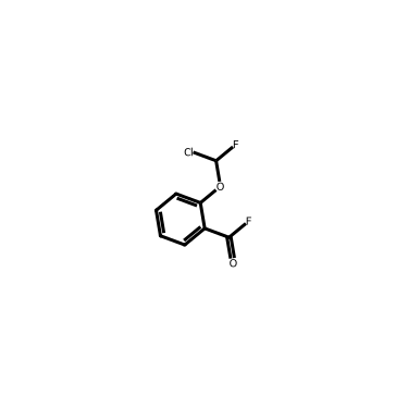 O=C(F)c1ccccc1OC(F)Cl